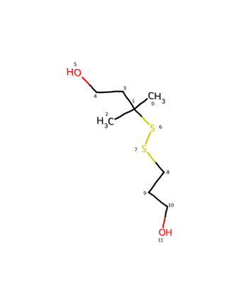 CC(C)(CCO)SSCCCO